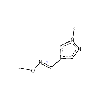 CO/N=C/c1cnn(C)c1